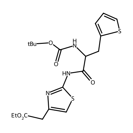 CCOC(=O)Cc1csc(NC(=O)C(Cc2cccs2)NC(=O)OC(C)(C)C)n1